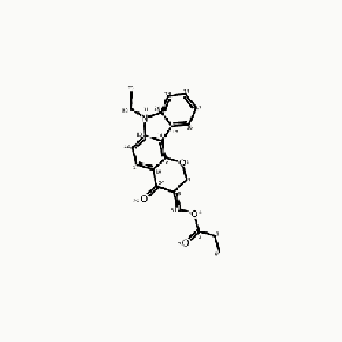 CCC(=O)O/N=C1\COc2c(ccc3c2c2ccccc2n3CC)C1=O